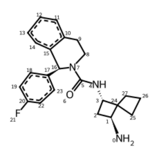 N[C@H]1C[C@H](NC(=O)N2CCc3ccccc3[C@@H]2c2ccc(F)cc2)C12CCC2